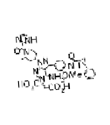 COc1cc(-c2nn(C3CCN(C(=O)c4ncc[nH]4)C(I)C3)c3ncnc(N)c23)ccc1NC(=O)C1CC1c1ccccc1.O=C(O)C=CC(=O)O